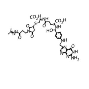 CC(C)=NNC(=O)CCN1C(=O)CC(SC[C@H](NC(=O)CC[C@H](NC(O)c2ccc(NCc3cnc4nc(N)[nH]c(=O)c4n3)cc2)C(=O)O)C(=O)O)C1=O